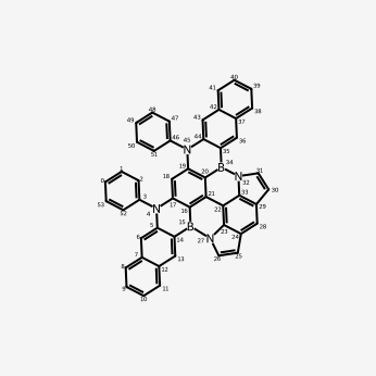 c1ccc(N2c3cc4ccccc4cc3B3c4c2cc2c5c4-c4c6c(ccn63)cc3ccn(c43)B5c3cc4ccccc4cc3N2c2ccccc2)cc1